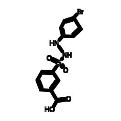 O=C(O)c1cccc(S(=O)(=O)NNc2ccc(Br)cc2)c1